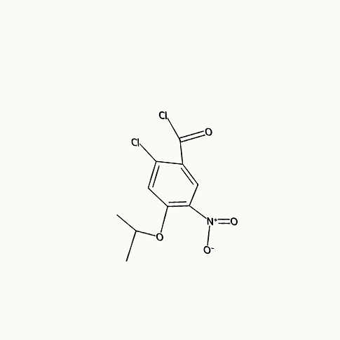 CC(C)Oc1cc(Cl)c(C(=O)Cl)cc1[N+](=O)[O-]